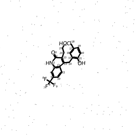 O=c1[nH]c2cc(C(F)(F)F)ccc2c(Cc2cc(Cl)ccc2O)c1CCO